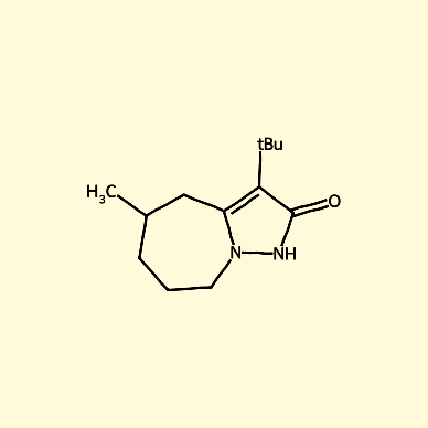 CC1CCCn2[nH]c(=O)c(C(C)(C)C)c2C1